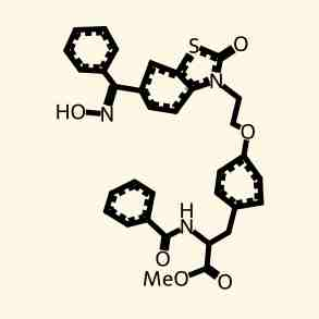 COC(=O)C(Cc1ccc(OCCn2c(=O)sc3cc(C(=NO)c4ccccc4)ccc32)cc1)NC(=O)c1ccccc1